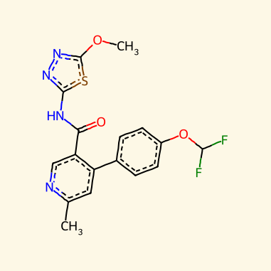 COc1nnc(NC(=O)c2cnc(C)cc2-c2ccc(OC(F)F)cc2)s1